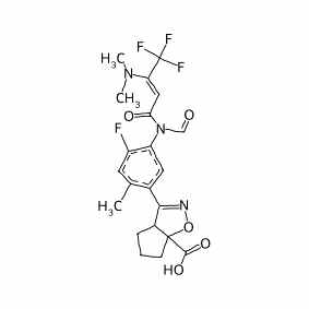 Cc1cc(F)c(N(C=O)C(=O)/C=C(\N(C)C)C(F)(F)F)cc1C1=NOC2(C(=O)O)CCCC12